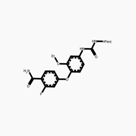 CCCCCNC(=O)Nc1ccc(Oc2ccc(C(N)=O)c(F)c2)c(OCC)c1